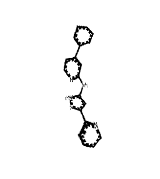 c1ccc(-c2ccnc(Nc3cc(-c4ccccn4)n[nH]3)c2)cc1